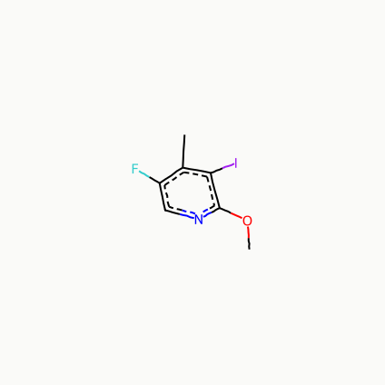 COc1ncc(F)c(C)c1I